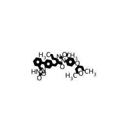 CCCc1nc(OC)n(-c2ccc(O[C@@H]3C[C@@H](C)O[C@@H](C)C3)cc2)c(=O)c1Cc1ccc(-c2ccccc2-c2noc(=O)[nH]2)cc1